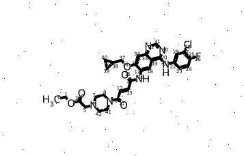 CCOC(=O)CN1CCN(C(=O)/C=C/C(=O)Nc2cc3c(Nc4ccc(F)c(Cl)c4)ncnc3cc2OCC2CC2)CC1